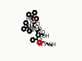 CNCCSCc1ncccc1SC1=C(C(=O)O)N2C(=O)C(NC(=O)C(=NOC(c3ccccc3)(c3ccccc3)c3ccccc3)c3nc(NC(c4ccccc4)(c4ccccc4)c4ccccc4)sc3Cl)C2CC1C(c1ccccc1)c1ccccc1